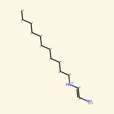 CCCCCCCCCCCN/C=C/N